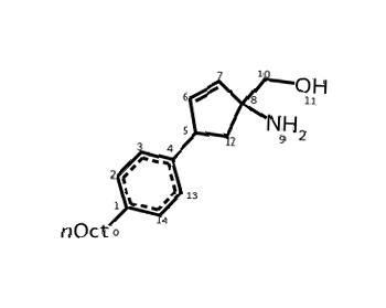 CCCCCCCCc1ccc(C2C=CC(N)(CO)C2)cc1